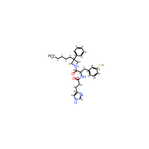 CCCCCC1(c2ccccc2)CN(C(=O)C(Cc2cccc(F)c2)NC(=O)CCc2c[nH]cn2)C1